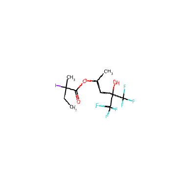 CCC(C)(I)C(=O)OC(C)CC(O)(C(F)(F)F)C(F)(F)F